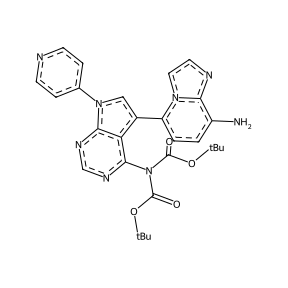 CC(C)(C)OC(=O)N(C(=O)OC(C)(C)C)c1ncnc2c1c(-c1ccc(N)c3nccn13)cn2-c1ccncc1